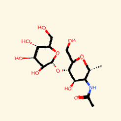 CC(=O)NC1[C@@H](O)[C@H](O[C@H]2OC(CO)[C@@H](O)[C@H](O)C2O)C(CO)O[C@@H]1C